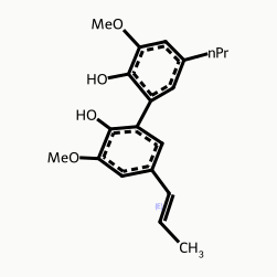 C/C=C/c1cc(OC)c(O)c(-c2cc(CCC)cc(OC)c2O)c1